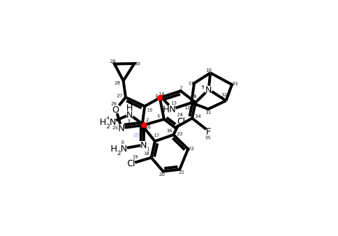 N/N=C(\NN)c1ccc(N2C3CC(NCc4c(-c5c(Cl)cccc5Cl)noc4C4CC4)CC2C3)c(F)c1